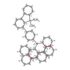 CC1(C)c2ccccc2-c2cccc(-c3ccc(N(c4ccccc4-c4ccccc4)c4ccccc4-c4cccc(-c5cccc6ccccc56)c4)cc3)c21